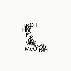 COc1cc(-c2cn(C)c(=O)c3[nH]ncc23)cc(OC)c1CN1CCN(C(=O)CN2CCC(c3ccc(NC4CCC(O)NC4=O)cc3F)CC2)CC1